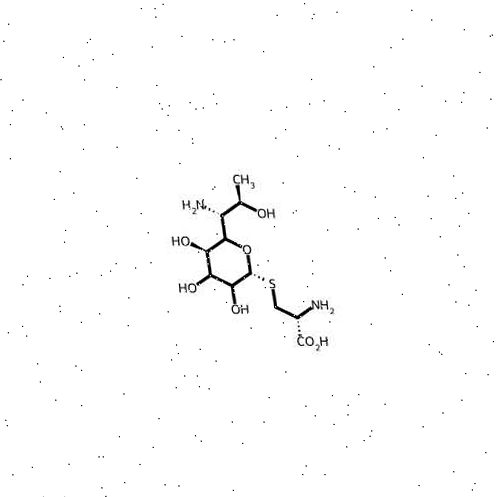 C[C@@H](O)[C@@H](N)C1O[C@H](SC[C@H](N)C(=O)O)C(O)C(O)[C@H]1O